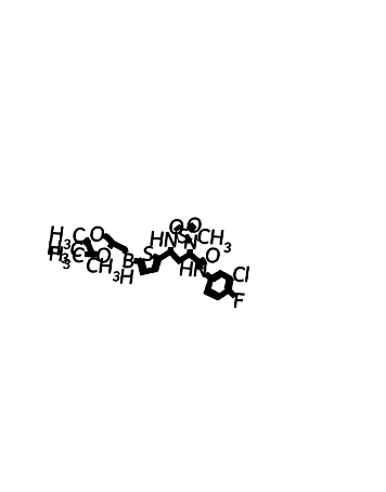 CN1C(C(=O)Nc2ccc(F)c(Cl)c2)CC(c2ccc(BCC3COC(C)(C)C(C)(C)O3)s2)NS1(=O)=O